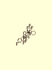 O=C(Cn1nc(C(F)(F)F)c2c1CCCC2)NCc1ccc(F)cc1C(F)(F)F